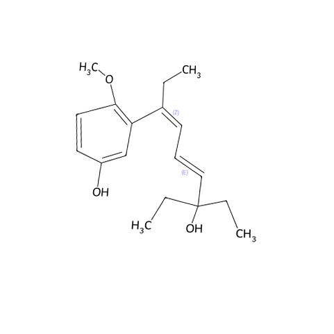 CC/C(=C/C=C/C(O)(CC)CC)c1cc(O)ccc1OC